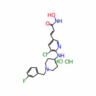 Cl.Cl.O=C(C=Cc1cnc(NC2CCN(Cc3cccc(F)c3)CC2)c(Cl)c1)NO